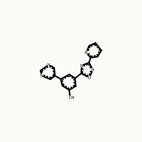 N#Cc1cc(-c2cncnc2)cc(-c2nc(-c3ccccn3)no2)c1